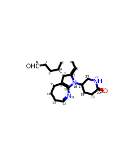 C/C=C1\[C@@H](C(C)CCC=O)C2=C(N=CCCC2)N1C1CCC(=O)NC1